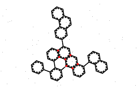 c1ccc(-c2ccccc2-c2c(-c3ccccc3)cccc2N(c2ccc(-c3ccc4c(ccc5ccccc54)c3)cc2)c2cccc(-c3cccc4ccccc34)c2)cc1